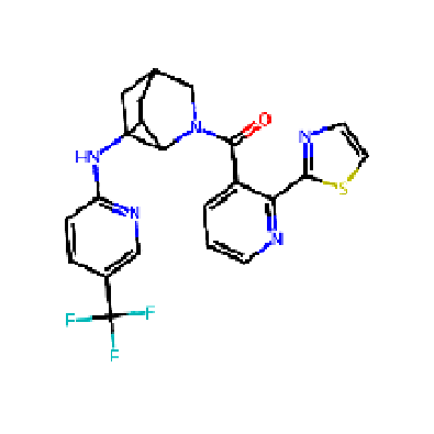 O=C(c1cccnc1-c1nccs1)N1CC2CCC1C(Nc1ccc(C(F)(F)F)cn1)C2